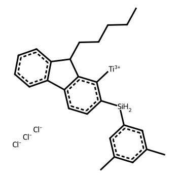 CCCCCC1c2ccccc2-c2ccc([SiH2]c3cc(C)cc(C)c3)[c]([Ti+3])c21.[Cl-].[Cl-].[Cl-]